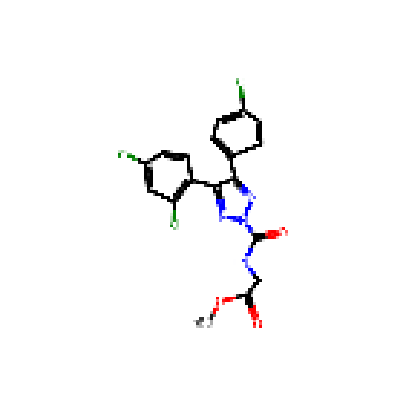 CCCCOC(=O)CNC(=O)n1nc(-c2ccc(Cl)cc2)c(-c2ccc(Cl)cc2Cl)n1